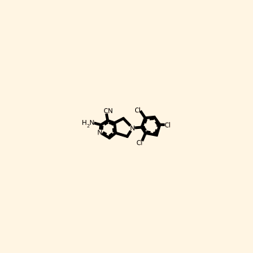 N#Cc1c(N)ncc2c1CN(c1c(Cl)cc(Cl)cc1Cl)C2